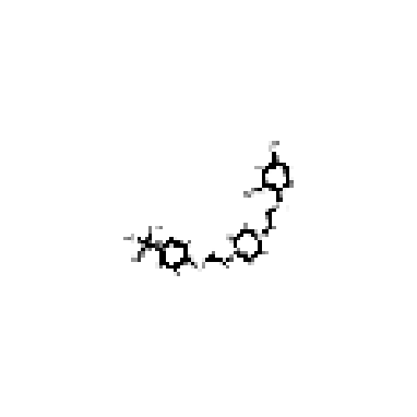 Fc1ccc(OCCN2CCN(CCOc3ccc(C(F)(F)F)cc3)CC2)c(F)c1